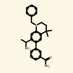 CC(N)c1cc2c(cc1-c1cccc(C(N)=O)c1)C(C)(C)CCN2Cc1ccccc1